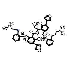 CCN(CC)C/C=C\c1ccccc1S(=O)(=O)Cc1ccc(-c2ccoc2)c(OC)c1C(=O)OC(=O)c1c(CS(=O)(=O)c2ccccc2CCCN(CC)CC)ccc(-c2ccoc2)c1OC